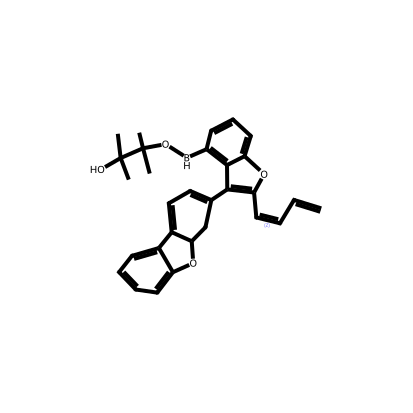 C=C/C=C\c1oc2cccc(BOC(C)(C)C(C)(C)O)c2c1C1=CC=C2c3ccccc3OC2C1